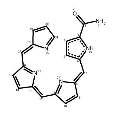 NC(=O)c1ccc(C=C2C=CC(C=C3C=CC(C=C4C=CC=N4)=N3)=N2)[nH]1